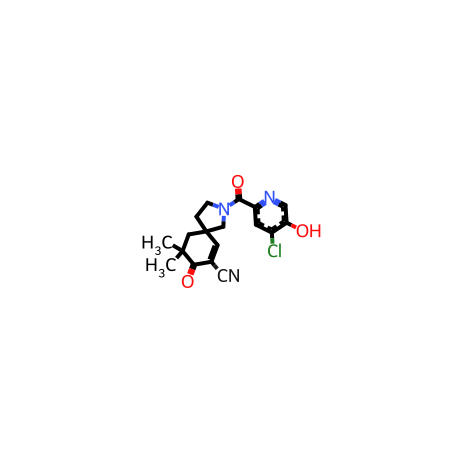 CC1(C)CC2(C=C(C#N)C1=O)CCN(C(=O)c1cc(Cl)c(O)cn1)C2